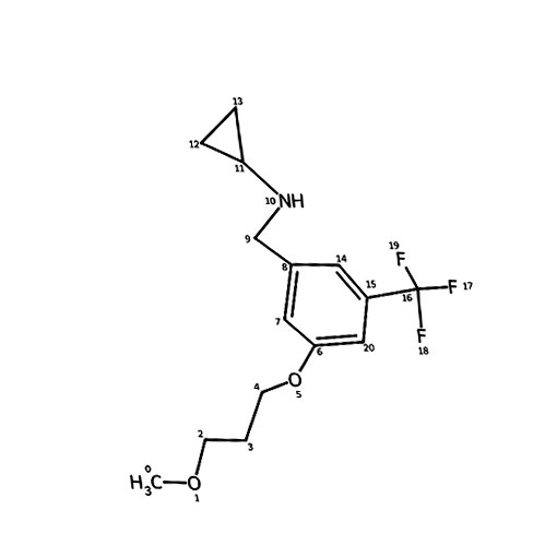 COCCCOc1cc(CNC2CC2)cc(C(F)(F)F)c1